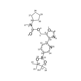 CN(C(=O)OCc1ocnc1-c1ccc(B2OC(C)(C)C(C)(C)O2)cn1)C1CCCC1